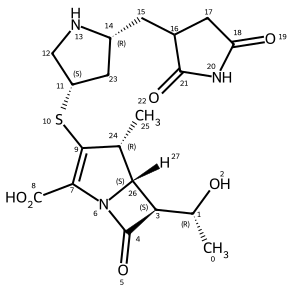 C[C@@H](O)[C@H]1C(=O)N2C(C(=O)O)=C(S[C@@H]3CN[C@H](CC4CC(=O)NC4=O)C3)[C@H](C)[C@H]12